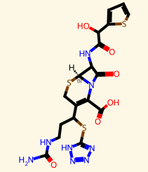 NC(=O)NCCC(Sc1nnn[nH]1)C1=C(C(=O)O)N2C(=O)C(NC(=O)C(O)c3cccs3)[C@@H]2SC1